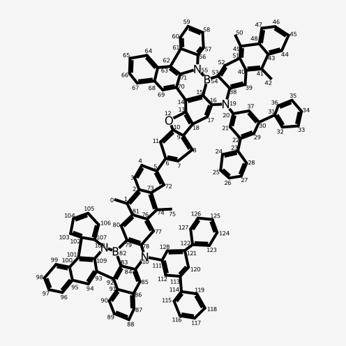 Cc1c2ccc(-c3ccc4c(c3)oc3c5c6c(cc34)N(c3cc(-c4ccccc4)cc(-c4ccccc4)c3)c3cc4c(C)c7ccccc7c(C)c4cc3B6n3c4ccccc4c4c6ccccc6cc-5c43)cc2c(C)c2cc3c(cc12)B1c2c(cc4ccccc4c2-c2cc4ccccc4c4c5ccccc5n1c24)N3c1cc(-c2ccccc2)cc(-c2ccccc2)c1